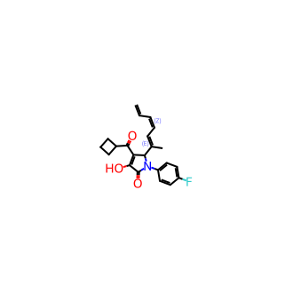 C=C/C=C\C=C(/C)C1C(C(=O)C2CCC2)=C(O)C(=O)N1c1ccc(F)cc1